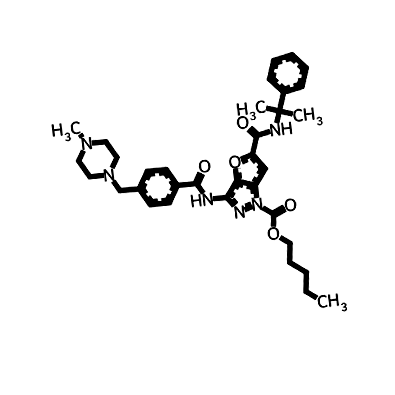 CCCCCOC(=O)n1nc(NC(=O)c2ccc(CN3CCN(C)CC3)cc2)c2oc(C(=O)NC(C)(C)c3ccccc3)cc21